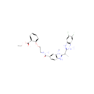 CCOC(=O)c1ccccc1OCCNC(=O)c1ccc2nc(C(C)c3nc4cc(F)c(F)cc4[nH]3)n(C)c2c1